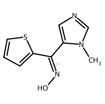 Cn1cncc1/C(=N/O)c1cccs1